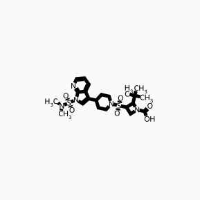 CN(C)S(=O)(=O)n1cc(C2CCN(S(=O)(=O)C3CN(C(=O)O)C3C(C)(C)C)CC2)c2cccnc21